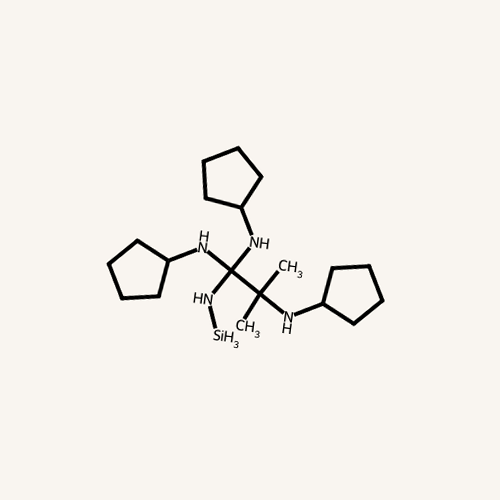 CC(C)(NC1CCCC1)C(N[SiH3])(NC1CCCC1)NC1CCCC1